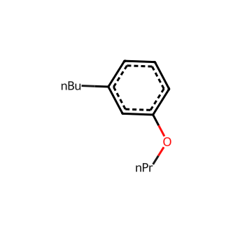 [CH2]CCCc1cccc(OCCC)c1